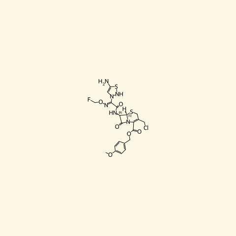 COc1ccc(COC(=O)C2=C(CCl)CS[C@H]3[C@H](NC(=O)C(=NOCF)N4C=C(N)SN4)C(=O)N23)cc1